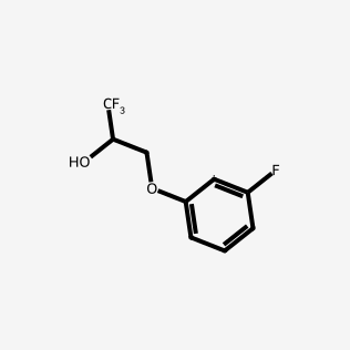 OC(COc1[c]c(F)ccc1)C(F)(F)F